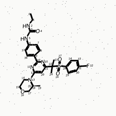 CCNC(=O)Nc1ccc(-c2nc(N3CCOC[C@@H]3C)cc(C(C)(C)S(=O)(=O)c3ccc(F)cc3)n2)cc1